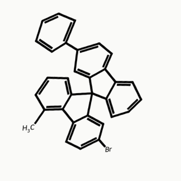 Cc1cccc2c1-c1ccc(Br)cc1C21c2ccccc2-c2ccc(-c3ccccc3)cc21